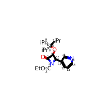 CCOC(=O)N1C(=O)C(O[Si](C(C)C)(C(C)C)C(C)C)C1c1cccnc1